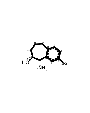 N[C@H]1c2cc(Br)ccc2CCC[C@@H]1O